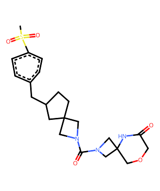 CS(=O)(=O)c1ccc(CC2CCC3(C2)CN(C(=O)N2CC4(COCC(=O)N4)C2)C3)cc1